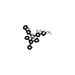 Cc1ccc(-c2ccc(-c3nc(-c4ccc5c(c4)oc4ccccc45)nc(-c4c(-c5ccccc5)cc(-c5ccccc5)cc4-c4ccccc4)n3)cc2)c(C)n1